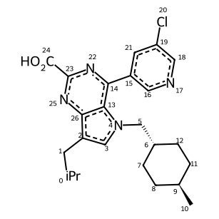 CC(C)Cc1cn(C[C@H]2CC[C@H](C)CC2)c2c(-c3cncc(Cl)c3)nc(C(=O)O)nc12